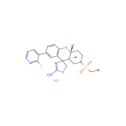 CC(C)CS(=O)(=O)N1CC[C@H]2Oc3ccc(-c4cccnc4F)cc3C3(COC(N)=N3)[C@@H]2C1.Cl